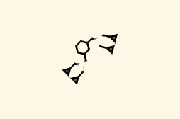 C1CC(CN(CC2CC2)CC2CC2)CC(CN(CC2CC2)CC2CC2)C1